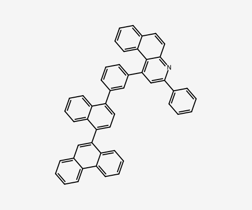 c1ccc(-c2cc(-c3cccc(-c4ccc(-c5cc6ccccc6c6ccccc56)c5ccccc45)c3)c3c(ccc4ccccc43)n2)cc1